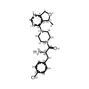 C[C@@H]1OCc2ncnc(N3CCN(C(=O)[C@H](N)Cc4ccc(Cl)cc4)CC3)c21